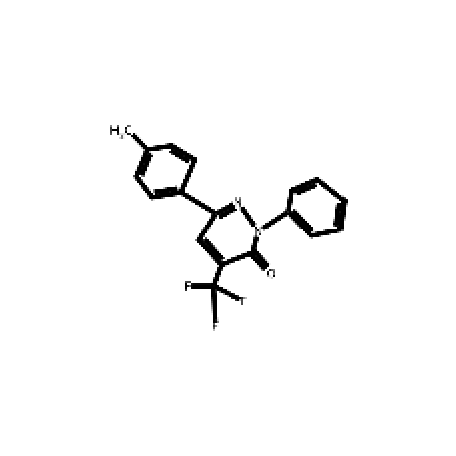 Cc1ccc(-c2cc(C(F)(F)F)c(=O)n(-c3ccccc3)n2)cc1